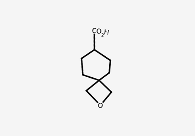 O=C(O)C1CCC2(CC1)COC2